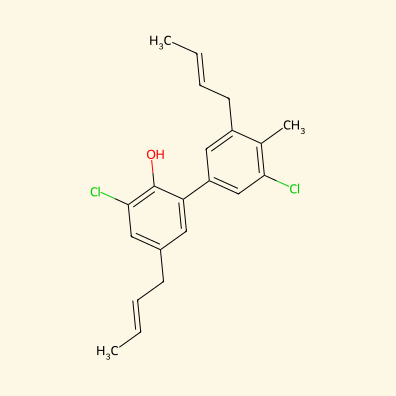 C/C=C/Cc1cc(Cl)c(O)c(-c2cc(Cl)c(C)c(C/C=C/C)c2)c1